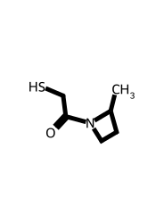 CC1CCN1C(=O)CS